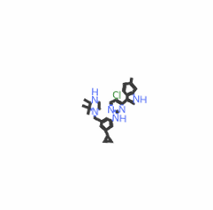 Cc1ccc2c(-c3nc(Nc4cc(CN5CCNC(C)C5(C)C)cc(C5CC5)c4)ncc3Cl)c[nH]c2c1